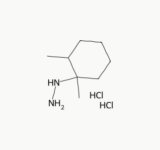 CC1CCCCC1(C)NN.Cl.Cl